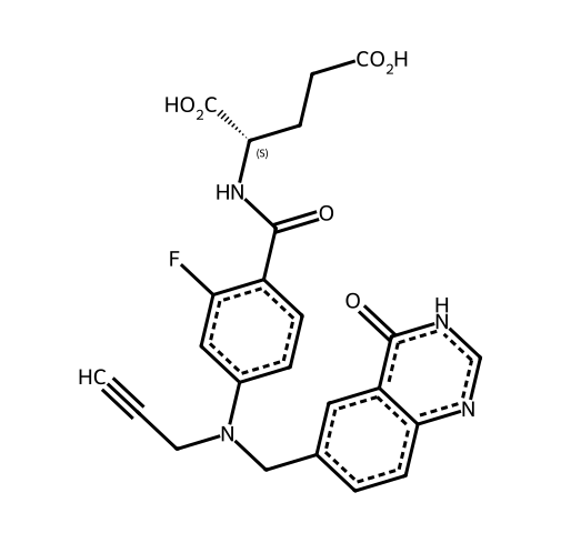 C#CCN(Cc1ccc2nc[nH]c(=O)c2c1)c1ccc(C(=O)N[C@@H](CCC(=O)O)C(=O)O)c(F)c1